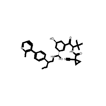 CCC(CNC(O)[C@H]1C=C(C(=O)C(NC(=O)C2(C#N)CC2)C(C)(C)C)C[C@H](O)C1)c1ccc(-c2c#ccnc2C)cc1